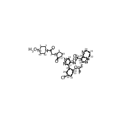 CN1CCN(C(=O)CN2CC[C@H](n3cc(NC(=O)c4cnn5cccnc45)c(-c4cc(Cl)ccc4OC(F)F)n3)C2=O)CC1